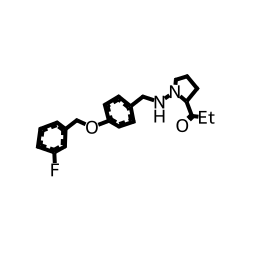 CCC(=O)C1CCCN1NCc1ccc(OCc2cccc(F)c2)cc1